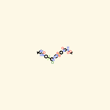 CC(C)(C)OC(=O)N[C@@H]1CC(=O)N(c2ccc(S(=O)(=O)N3CCN(c4cc(C(F)(F)C5CCC(NC(=O)[C@@H]6CC7(CC7)C[N+]6(C)C)CC5)cc(Cl)n4)CC3)cc2)C1